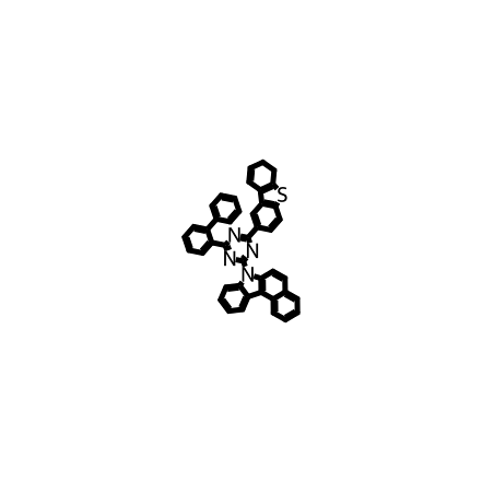 C1=Cc2c(sc3ccc(-c4nc(-c5ccccc5-c5ccccc5)nc(-n5c6ccccc6c6c7ccccc7ccc65)n4)cc23)CC1